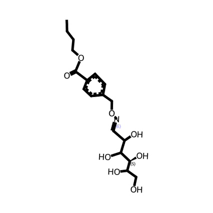 CCCCOC(=O)c1ccc(CO/N=C/C(O)C(O)[C@@H](O)C(O)CO)cc1